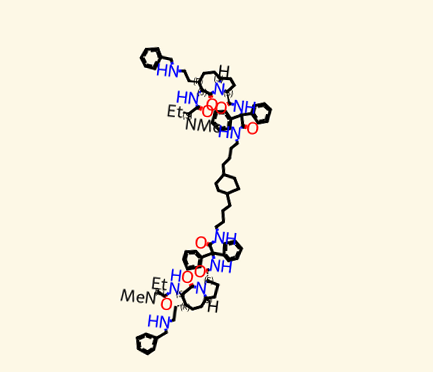 CC[C@H](NC)C(=O)N[C@@H]1C(=O)N2[C@@H](CC[C@@H]1CCNCc1ccccc1)CC[C@H]2C(=O)NC(C(=O)NCCCCC1CCC(CCCCNC(=O)C(NC(=O)[C@@H]2CC[C@@H]3CC[C@H](CCNCc4ccccc4)[C@H](NC(=O)[C@H](CC)NC)C(=O)N32)(c2ccccc2)c2ccccc2)CC1)(c1ccccc1)c1ccccc1